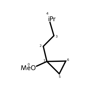 COC1(CCC(C)C)CC1